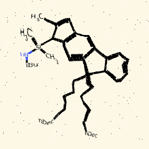 CCCCCCCCCCCCCCC1(CCCCCCCCCCCCCC)c2ccccc2-c2cc3c(cc21)C([Si](C)(C)NC(C)(C)C)C(C)=C3